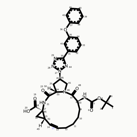 CC(C)(C)OC(=O)N[C@H]1CCCC/C=C\[C@@H]2C[C@@]2(C(=O)O)NC(=O)[C@@H]2C[C@@H](n3nnc(-c4cccc(Oc5ccccc5)c4)n3)CN2C1=O